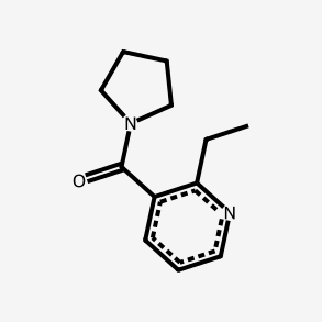 CCc1ncccc1C(=O)N1CCCC1